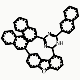 c1ccc2cc(C3=NC(c4cccc5oc6ccc(-c7ccc8ccccc8c7)cc6c45)NC(c4ccc5ccccc5c4)=N3)ccc2c1